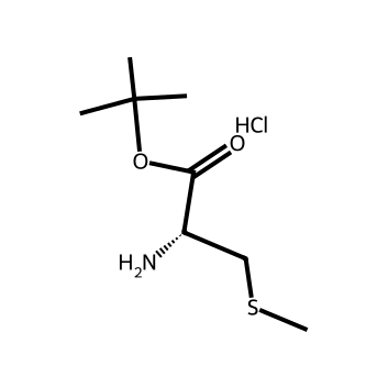 CSC[C@H](N)C(=O)OC(C)(C)C.Cl